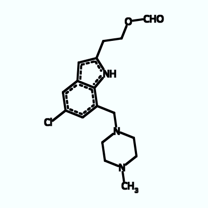 CN1CCN(Cc2cc(Cl)cc3cc(CCOC=O)[nH]c23)CC1